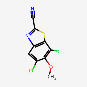 COc1c(Cl)cc2nc(C#N)sc2c1Cl